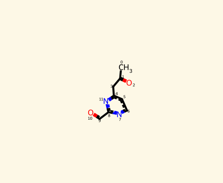 CC(=O)Cc1ccnc(C=O)n1